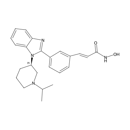 CC(C)N1CCC[C@@H](n2c(-c3cccc(C=CC(=O)NO)c3)nc3ccccc32)C1